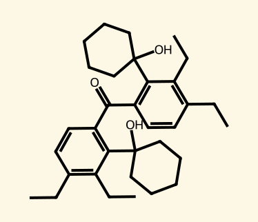 CCc1ccc(C(=O)c2ccc(CC)c(CC)c2C2(O)CCCCC2)c(C2(O)CCCCC2)c1CC